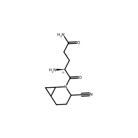 N#CC1CCC2CC2N1C(=O)[C@@H](N)CCC(N)=O